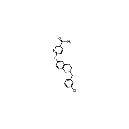 NC(=O)c1ccc(Oc2ccc3c(c2)CCN(Cc2cccc(Cl)c2)C3)nc1